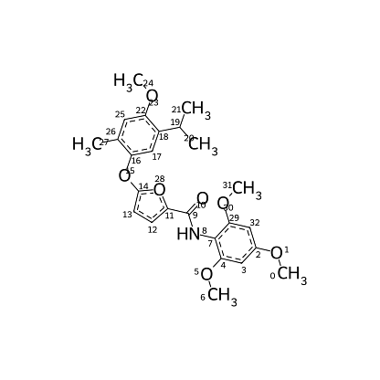 COc1cc(OC)c(NC(=O)c2ccc(Oc3cc(C(C)C)c(OC)cc3C)o2)c(OC)c1